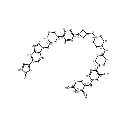 Cn1cc(-c2cnc3c(nnn3C[C@@H]3CN(c4ncc(N5CC(CN6CCN(CC7CCN(c8ccc(NC9CCC(=O)NC9=O)cc8F)CC7)CC6)C5)cn4)CCO3)n2)cn1